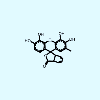 Cc1cc2c(c(O)c1O)Oc1c(ccc(O)c1O)C21OC(=O)C2C=CC=CC21